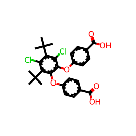 CC(C)(C)c1c(Cl)c(Oc2ccc(C(=O)O)cc2)c(Oc2ccc(C(=O)O)cc2)c(C(C)(C)C)c1Cl